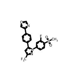 CS(=O)(=O)c1ccc(-n2nc(C(F)(F)F)cc2-c2ccc(-c3cocn3)cc2)cc1F